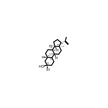 C=C(C)[C@H]1CC[C@H]2[C@@H]3CC[C@H]4C[C@](O)(CC)CC[C@]4(C)[C@H]3CC[C@]12C